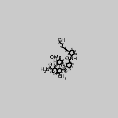 COc1cccc(Nc2c(C(N)=O)cnc3c(C)cc(S(=O)(=O)c4cccc(C(=O)Nc5cccc(C#CCCCO)c5)c4)cc23)c1